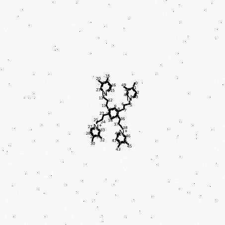 Cc1cc[n+](CCCc2cc(CCC[n+]3ccc(C)c(C)c3)c(CCC[n+]3ccc(C)c(C)c3)cc2CCC[n+]2ccc(C)c(C)c2)cc1C